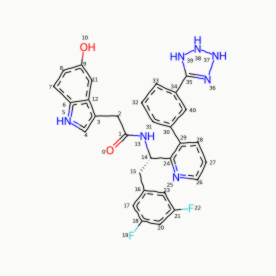 O=C(Cc1c[nH]c2ccc(O)cc12)N[C@@H](Cc1cc(F)cc(F)c1)c1ncccc1-c1cccc(C2=NNNN2)c1